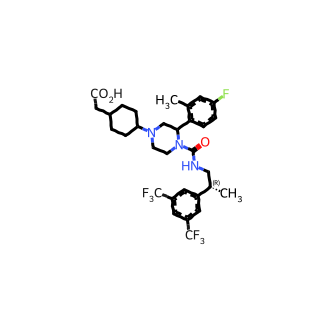 Cc1cc(F)ccc1C1CN(C2CCC(CC(=O)O)CC2)CCN1C(=O)NC[C@H](C)c1cc(C(F)(F)F)cc(C(F)(F)F)c1